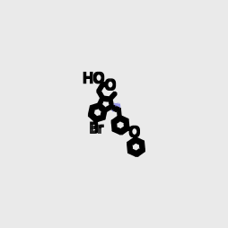 CC1=C(CC(=O)O)c2ccc(Br)cc2/C1=C\c1cccc(Oc2ccccc2)c1